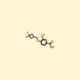 COc1nc(C(=O)O)ccc1OCC1CC(F)(F)C1